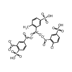 Cc1ccc(S(=O)(=O)O)cc1[N+](=O)[O-].O=[N+]([O-])c1cc(S(=O)(=O)O)ccc1Cl.O=[N+]([O-])c1ccc(S(=O)(=O)O)c([N+](=O)[O-])c1